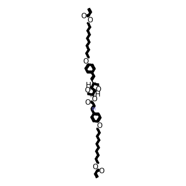 C=CC(=O)OCCCCCCCCCCOc1ccc(C=C[C@H]2CO[C@H]3[C@@H]2OC[C@H]3OC(=O)/C=C/c2ccc(OCCCCCCCCCCOC(=O)C=C)cc2)cc1